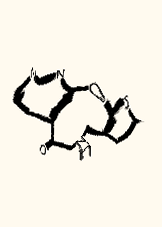 O=C1Nc2ccsc2Oc2nnccc21